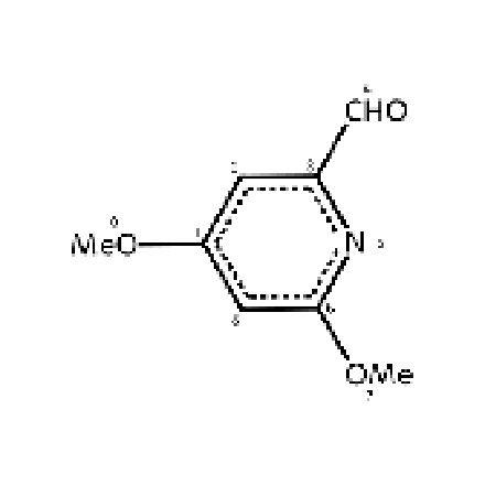 COc1cc(C=O)nc(OC)c1